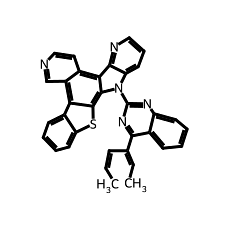 C/C=C\C(=C/C)c1nc(-n2c3cccnc3c3c4ccncc4c4c5ccccc5sc4c32)nc2ccccc12